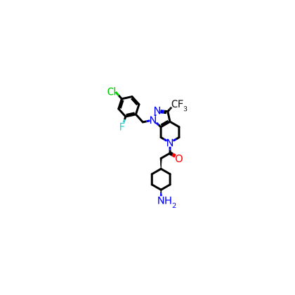 N[C@H]1CC[C@@H](CC(=O)N2CCc3c(C(F)(F)F)nn(Cc4ccc(Cl)cc4F)c3C2)CC1